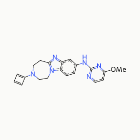 COc1ccnc(Nc2ccc3c(c2)nc2n3CCN(C3=CC=C3)CC2)n1